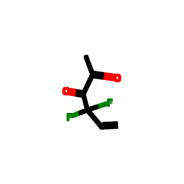 C=CC(F)(F)C(=O)C(C)=O